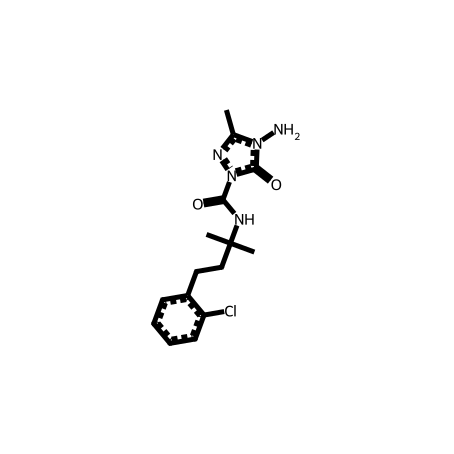 Cc1nn(C(=O)NC(C)(C)CCc2ccccc2Cl)c(=O)n1N